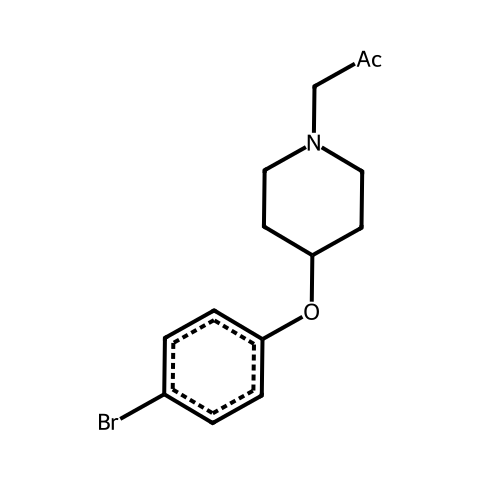 CC(=O)CN1CCC(Oc2ccc(Br)cc2)CC1